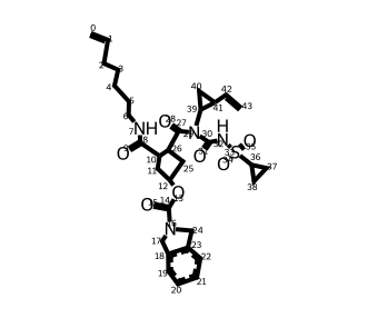 C=CCCCCCNC(=O)C1CC(OC(=O)N2Cc3ccccc3C2)CC1C(=O)N(C(=O)NS(=O)(=O)C1CC1)C1CC1C=C